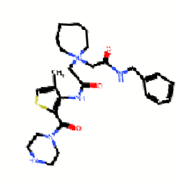 Cc1csc(C(=O)N2CCNCC2)c1NC(=O)C[N+]1(CC(=O)NCc2ccccc2)CCCCCC1